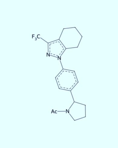 CC(=O)N1CCCC1c1ccc(-n2nc(C(F)(F)F)c3c2CCCC3)cc1